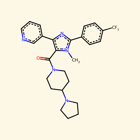 Cn1c(-c2ccc(C(F)(F)F)cc2)nc(-c2cccnc2)c1C(=O)N1CCC(N2CCCC2)CC1